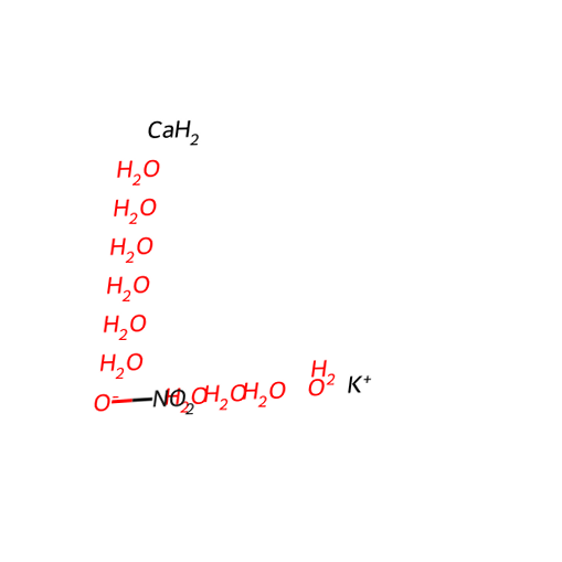 O.O.O.O.O.O.O.O.O.O.O=[N+]([O-])[O-].[CaH2].[K+]